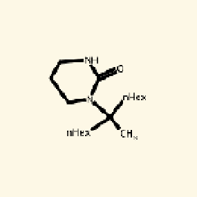 CCCCCCC(C)(CCCCCC)N1CCCNC1=O